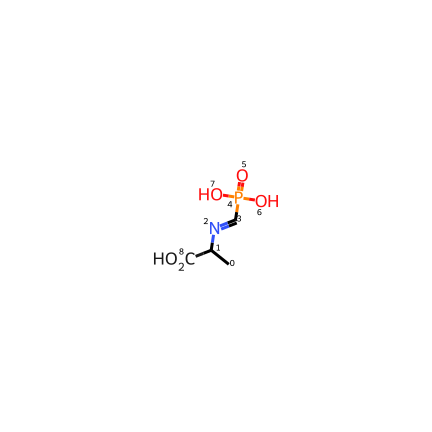 CC(N=CP(=O)(O)O)C(=O)O